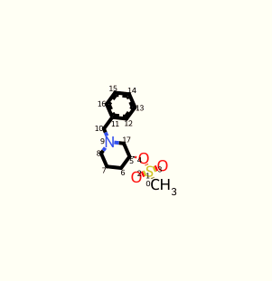 CS(=O)(=O)O[C@@H]1CCCN(Cc2ccccc2)C1